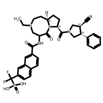 CCN1CC[C@H]2CC[C@@H](C(=O)N3C[C@@H](C#N)[C@H](c4ccccc4)C3)N2C(=O)C(NC(=O)c2ccc3ccc(C(F)(F)P(=O)(O)O)cc3c2)C1